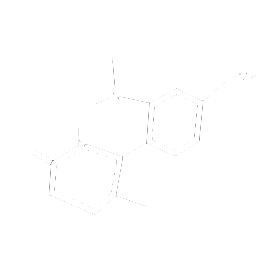 CCc1ccc(=O)[nH]c1-c1ccc(OC)cc1N(C)C